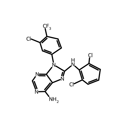 Nc1ncnc2c1nc(Nc1c(Cl)cccc1Cl)n2-c1ccc(C(F)(F)F)c(Cl)c1